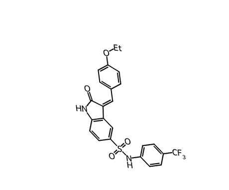 CCOc1ccc(C=C2C(=O)Nc3ccc(S(=O)(=O)Nc4ccc(C(F)(F)F)cc4)cc32)cc1